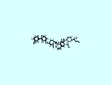 C=CC(=O)N1CCC(Nc2cc3c(Nc4ccc(Oc5ccnc(-c6cccc(F)c6)c5)cc4F)ncnc3cc2OC)CC1